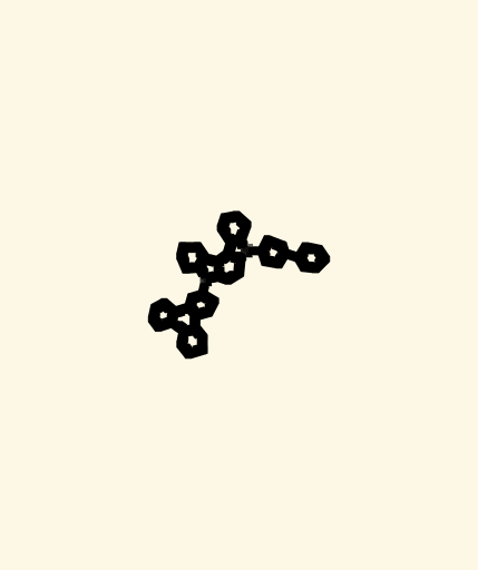 c1ccc(-c2ccc(-n3c4ccccc4c4c5c6ccccc6n(-c6ccc7c8ccccc8c8ccccc8c7c6)c5ccc43)cc2)cc1